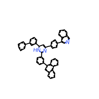 C1=C(c2ccc(-c3cncc4ccccc34)cc2)N=C(c2cccc(-c3cc4ccccc4c4ccccc34)c2)NC1c1cccc(-c2ccccc2)c1